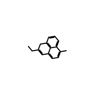 CCC1=Cc2ccc(C)c3cccc(c23)C1